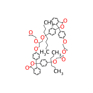 CCCCCC(CCCC)(OCC(COc1ccc(C2(c3ccc(C(CCC)(CCC)OCC4CO4)cc3)OC(=O)c3ccccc32)cc1)OCC1CO1)c1ccc(C2(c3ccc(OCC4CO4)cc3)OC(=O)c3ccccc32)cc1